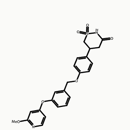 COc1cc(Oc2cccc(COc3ccc(C4CC(=O)NS(=O)(=O)C4)cc3)c2)ccn1